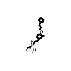 Cc1cc(C=CCNCCC(=O)O)ccc1OCCCc1ccccc1